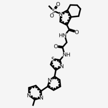 Cc1nccc(-c2cccc(-c3csc(NC(=O)CNC(=O)c4cn(S(C)(=O)=O)c5c4CCCC5)n3)n2)n1